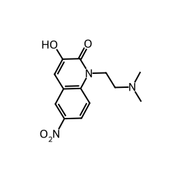 CN(C)CCn1c(=O)c(O)cc2cc([N+](=O)[O-])ccc21